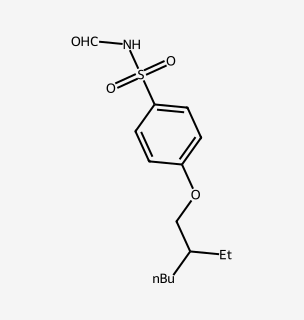 CCCCC(CC)COc1ccc(S(=O)(=O)NC=O)cc1